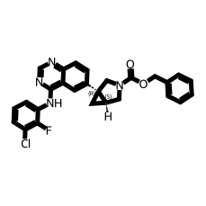 O=C(OCc1ccccc1)N1C[C@H]2C[C@@]2(c2ccc3ncnc(Nc4cccc(Cl)c4F)c3c2)C1